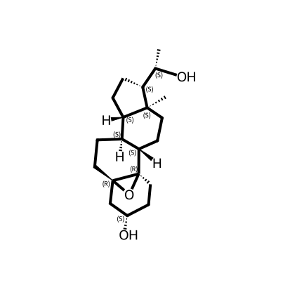 C[C@H](O)[C@H]1CC[C@H]2[C@@H]3CC[C@@]45C[C@@H](O)CC[C@@]4(O5)[C@H]3CC[C@]12C